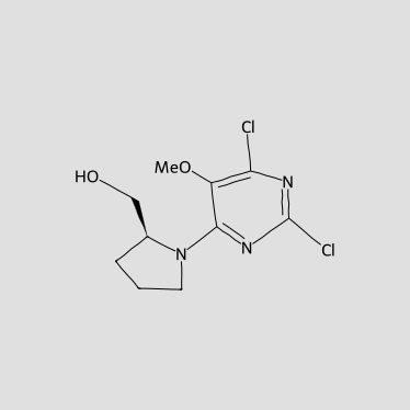 COc1c(Cl)nc(Cl)nc1N1CCC[C@H]1CO